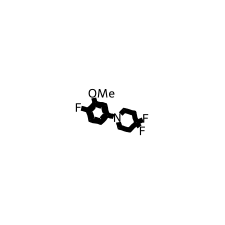 COc1cc(N2CCC(F)(F)CC2)ccc1F